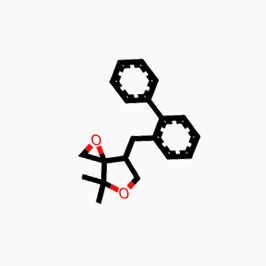 CC1(C)OCC(Cc2ccccc2-c2ccccc2)C12CO2